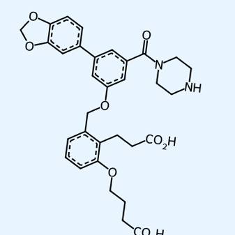 O=C(O)CCCOc1cccc(COc2cc(C(=O)N3CCNCC3)cc(-c3ccc4c(c3)OCO4)c2)c1CCC(=O)O